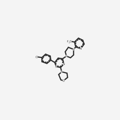 FC(F)(F)c1cccnc1N1CCN(c2cc(-c3ccc(Cl)cc3)nc(N3CCOCC3)n2)CC1